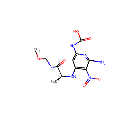 COCNC(=O)[C@H](C)Nc1cc(NC(=O)O)nc(N)c1[N+](=O)[O-]